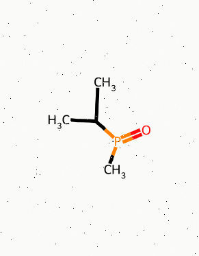 CC(C)[P](C)=O